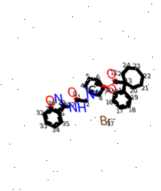 O=C(C[N+]12CCC(CC1)C(OC(=O)C1(c3ccccc3)CCCCCC1)C2)Nc1noc2ccccc12.[Br-]